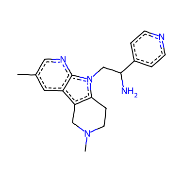 Cc1cnc2c(c1)c1c(n2CC(N)c2ccncc2)CCN(C)C1